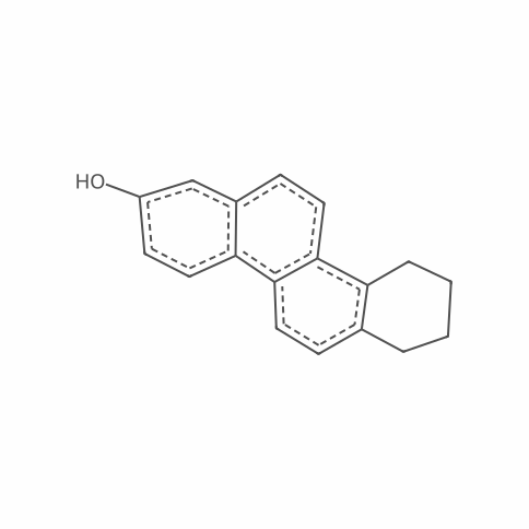 Oc1ccc2c(ccc3c4c(ccc32)CCCC4)c1